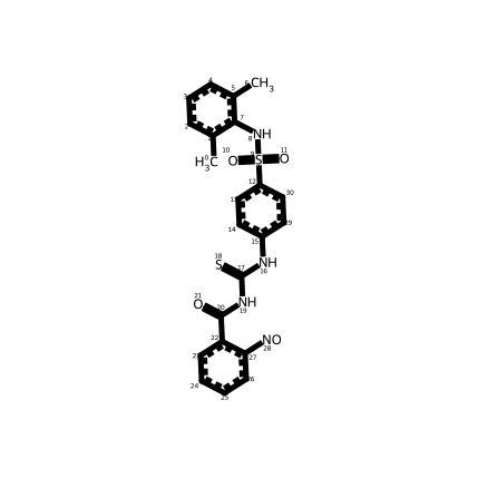 Cc1cccc(C)c1NS(=O)(=O)c1ccc(NC(=S)NC(=O)c2ccccc2N=O)cc1